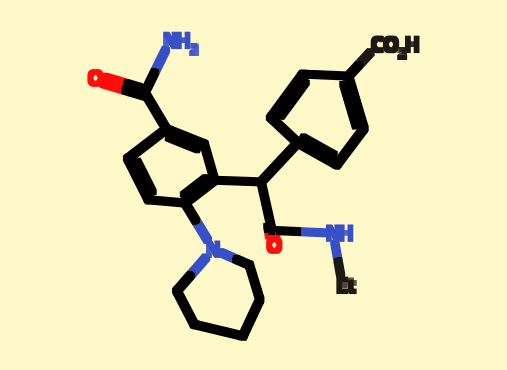 CCNC(=O)C(c1ccc(C(=O)O)cc1)c1cc(C(N)=O)ccc1N1CCCCC1